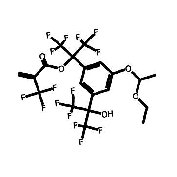 C=C(C(=O)OC(c1cc(OC(C)OCC)cc(C(O)(C(F)(F)F)C(F)(F)F)c1)(C(F)(F)F)C(F)(F)F)C(F)(F)F